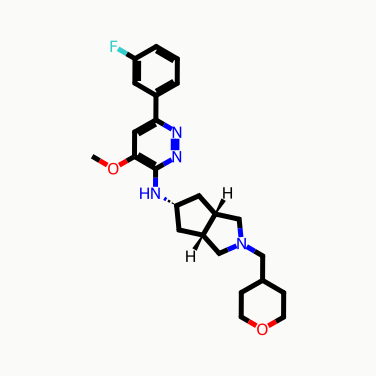 COc1cc(-c2cccc(F)c2)nnc1N[C@@H]1C[C@@H]2CN(CC3CCOCC3)C[C@@H]2C1